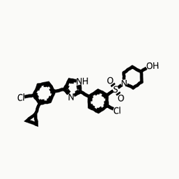 O=S(=O)(c1cc(-c2nc(-c3ccc(Cl)c(C4CC4)c3)c[nH]2)ccc1Cl)N1CCC(O)CC1